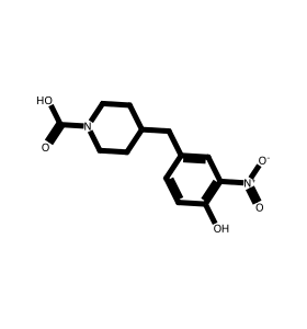 O=C(O)N1CCC(Cc2ccc(O)c([N+](=O)[O-])c2)CC1